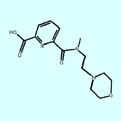 CN(CCN1CCOCC1)C(=O)c1cccc(C(=O)O)n1